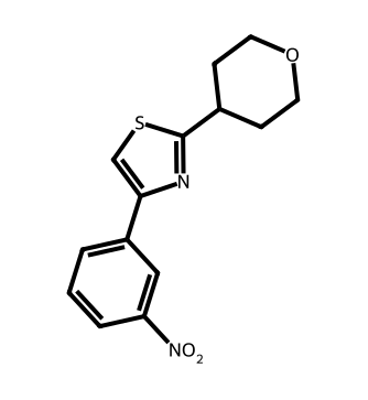 O=[N+]([O-])c1cccc(-c2csc(C3CCOCC3)n2)c1